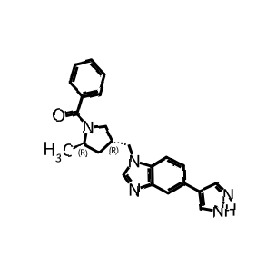 C[C@@H]1C[C@@H](Cn2cnc3cc(-c4cn[nH]c4)ccc32)CN1C(=O)c1ccccc1